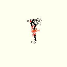 CCCCCCC(=O)OCOP(=O)(OCOC(=O)CCCCCC)C(CCCC=C(C)CCC=C(C)CCC=C(C)C)S(=O)(=O)O